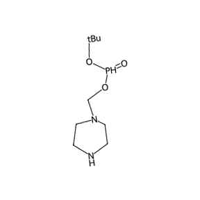 CC(C)(C)O[PH](=O)OCN1CCNCC1